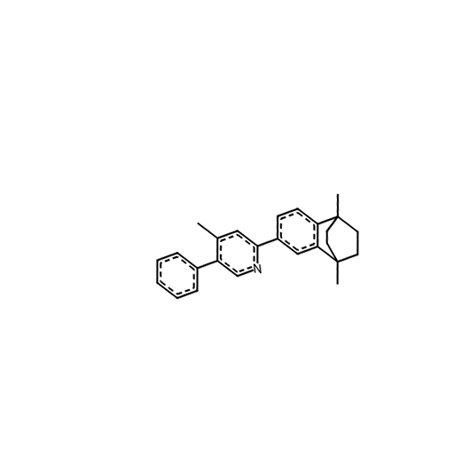 Cc1cc(-c2ccc3c(c2)C2(C)CCC3(C)CC2)ncc1-c1ccccc1